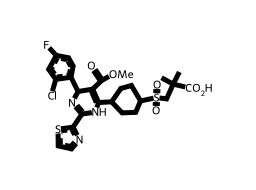 COC(=O)C1=C(C2CCC(S(=O)(=O)CC(C)(C)C(=O)O)CC2)NC(c2nccs2)=NC1c1ccc(F)cc1Cl